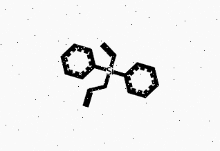 C=CC[Si](C=C)(c1ccccc1)c1ccccc1